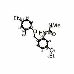 CCOc1ccc(COc2ccc(CC)cc2C)c(NC(=O)NC)c1